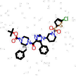 CC(C)(C)OC(=O)N1CCN(C(=O)c2ncn(C3CCCN(S(=O)(=O)C4CC=C(Cl)S4)C3)c2-c2ccccc2)[C@H](Cc2ccccc2)C1